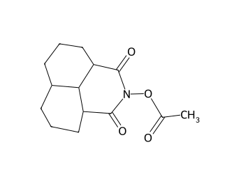 CC(=O)ON1C(=O)C2CCCC3CCCC(C1=O)C32